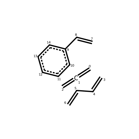 C=C=C.C=CC=C.C=Cc1ccccc1